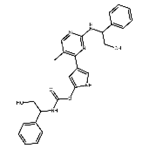 Cc1cnc(NC(CO)c2ccccc2)nc1-c1c[nH]c(OC(=O)NC(CO)c2ccccc2)c1